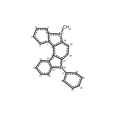 Cn1c2ccccc2c2c3c4ccccc4n(-c4ccccc4)c3ccc21